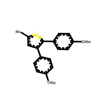 CCC(C)c1cc(-c2ccc(OC)cc2)c(-c2ccc(OC)cc2)s1